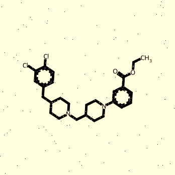 CCOC(=O)c1cccc(N2CCC(CN3CCC(Cc4ccc(Cl)c(Cl)c4)CC3)CC2)c1